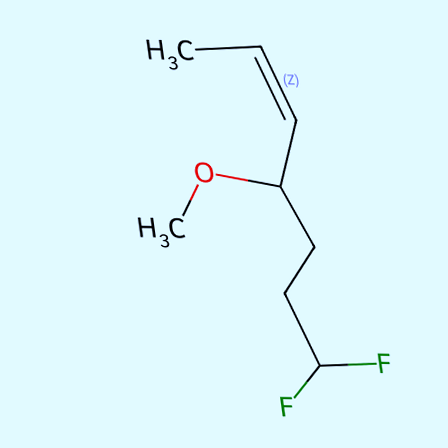 C/C=C\C(CCC(F)F)OC